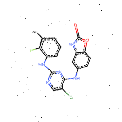 N#Cc1cccc(Nc2ncc(Cl)c(Nc3ccc4oc(=O)[nH]c4c3)n2)c1F